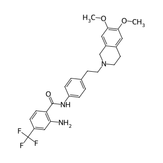 COc1cc2c(cc1OC)CN(CCc1ccc(NC(=O)c3ccc(C(F)(F)F)cc3N)cc1)CC2